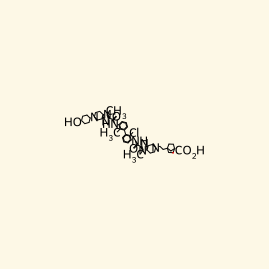 Cc1c(NC(=O)c2nc3c(n2C)CCN(C2CCC(O)CC2)C3)cccc1-c1cccc(NC(=O)c2nc3c(n2C)CCN(CCC24CCC(C(=O)O)(CC2)C4)C3)c1Cl